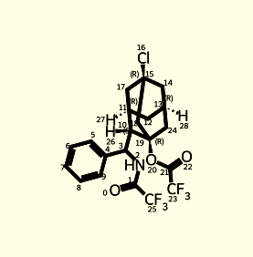 O=C(NC(c1ccccc1)[C@@H]1[C@@H]2C[C@H]3C[C@@](Cl)(C2)C[C@]1(OC(=O)C(F)(F)F)C3)C(F)(F)F